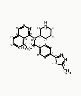 Cc1nnc(-c2ccc(C(=O)N(c3nccc4cccc(C)c34)[C@@H]3CCCNC3)cc2)s1